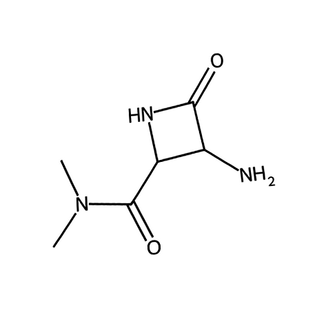 CN(C)C(=O)C1NC(=O)C1N